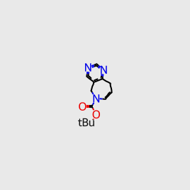 CC(C)(C)OC(=O)N1C=CCc2ncncc2C1